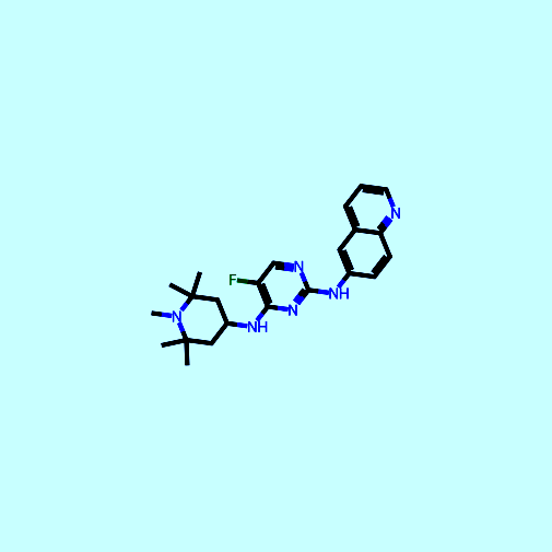 CN1C(C)(C)CC(Nc2nc(Nc3ccc4ncccc4c3)ncc2F)CC1(C)C